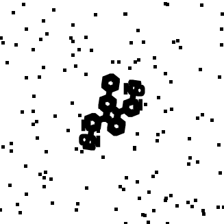 c1ccc(-c2ccc3c(-c4ccnc(-c5ncco5)c4)c4ccccc4c(-c4ccnc(-c5ncco5)c4)c3c2)cc1